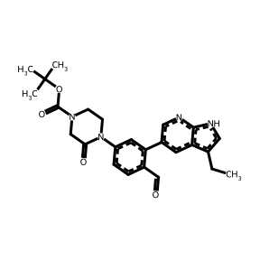 CCc1c[nH]c2ncc(-c3cc(N4CCN(C(=O)OC(C)(C)C)CC4=O)ccc3C=O)cc12